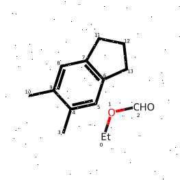 CCOC=O.Cc1cc2c(cc1C)CCC2